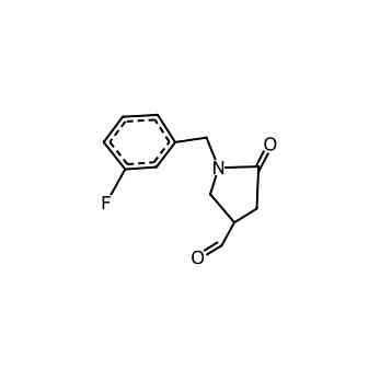 O=CC1CC(=O)N(Cc2cccc(F)c2)C1